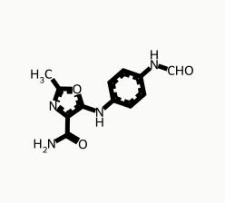 Cc1nc(C(N)=O)c(Nc2ccc(NC=O)cc2)o1